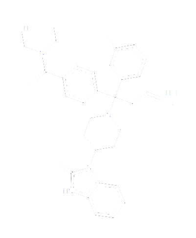 C=CCC(c1ccc(C(=O)N(CC)CC)cc1)(c1cccc(O)c1)N1CCC(n2c(=O)[nH]c3ccccc32)CC1.Cl